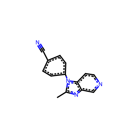 Cc1nc2cnccc2n1-c1ccc(C#N)cc1